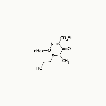 CCCCCCO/N=C(/C(=O)OCC)C(=O)C(C)SCCO